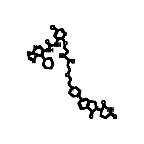 O=C(CCOCCN1CCN(c2ccc3c(c2)CN(C2CCC(=O)NC2=O)C3=O)CC1)NCCOc1ncc(Cl)cc1NC(=O)Nc1cnc2ncnn2c1C1CCCCC1